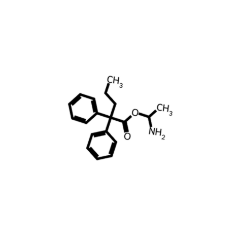 CCCC(C(=O)OC(C)N)(c1ccccc1)c1ccccc1